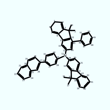 CC1(C)C2=CCCC=C2c2cc(N(c3ccc(-c4ccc5ccccc5c4)cc3)c3ccc4c(c3)C(C)(C)c3ccccc3-4)cc(-c3ccccc3)c21